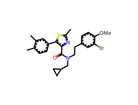 COc1ccc(CCN(CC2CC2)C(=O)c2nc(C)sc2-c2ccc(C)c(C)c2)cc1Br